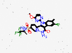 COc1ccnc(-n2c(-c3ccc(S(=O)(=O)N[C@@H](C)C(F)(F)F)cn3)c(C(N)=O)c3cc(F)c(C)cc32)n1